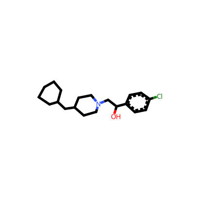 OC(CN1CCC(CC2CCCCC2)CC1)c1ccc(Cl)cc1